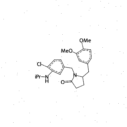 COc1ccc(CC2CCC(=O)N2Cc2ccc(Cl)c(NC(C)C)c2)cc1OC